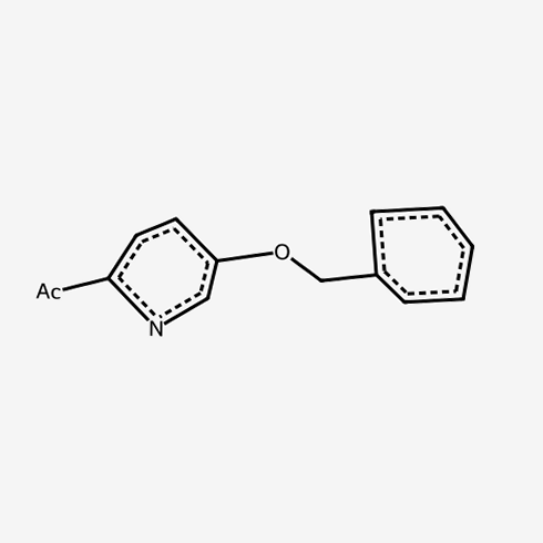 CC(=O)c1ccc(OCc2ccccc2)cn1